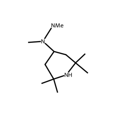 CNN(C)C1CC(C)(C)NC(C)(C)C1